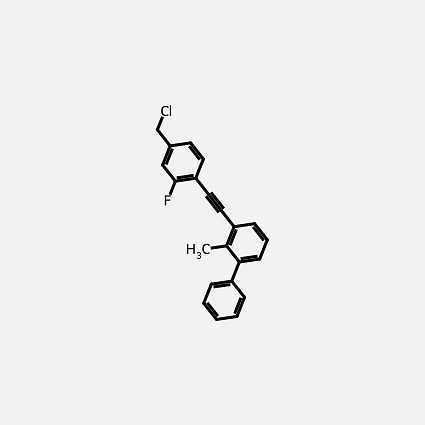 Cc1c(C#Cc2ccc(CCl)cc2F)cccc1-c1ccccc1